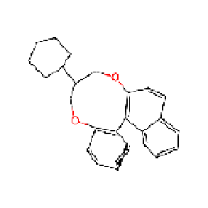 c1ccc2c3c(ccc2c1)OCC(C1CCCCC1)COc1ccc2ccccc2c1-3